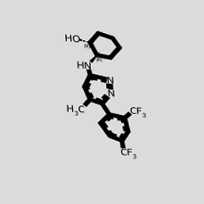 Cc1cc(N[C@@H]2CCCC[C@H]2O)nnc1-c1ccc(C(F)(F)F)cc1C(F)(F)F